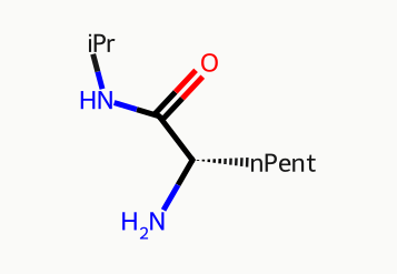 CCCCC[C@H](N)C(=O)NC(C)C